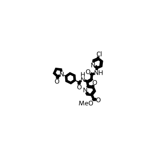 COC(=O)c1cnc2c(NC(=O)[C@H]3CC[C@H](N4CCCC4=O)CC3)c(C(=O)Nc3ccc(Cl)cn3)oc2c1